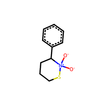 [O-][N+]1([O-])SCCCC1c1ccccc1